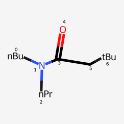 CCCCN(CCC)C(=O)CC(C)(C)C